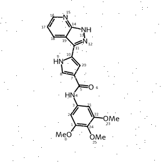 COc1cc(NC(=O)c2c[nH]c(-c3n[nH]c4ncccc34)c2)cc(OC)c1OC